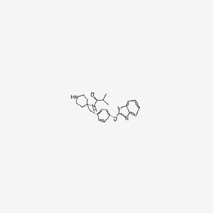 CC(C)C(=O)NC1(Cc2ccc(Oc3nc4ccccc4s3)cc2)CCNCC1